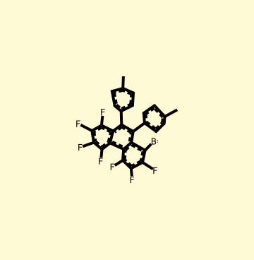 [B]c1c(F)c(F)c(F)c2c1c(-c1ccc(C)cc1)c(-c1ccc(C)cc1)c1c(F)c(F)c(F)c(F)c12